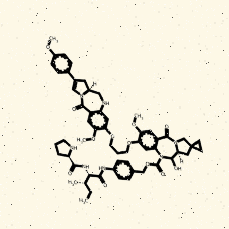 CC[C@H](C)[C@H](NC(=O)[C@H]1CCCN1)C(=O)Nc1ccc(COC(=O)N2c3cc(OCCCOc4cc5c(cc4OC)C(=O)N4C=C(c6ccc(OC)cc6)C[C@H]4CN5)c(OC)cc3C(=O)N3CC4(CC4)C[C@H]3C2O)cc1